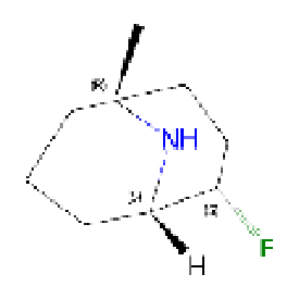 C[C@]12CCC[C@H](N1)[C@@H](F)CC2